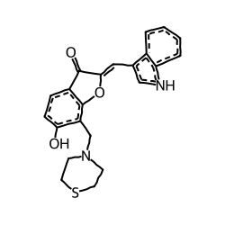 O=C1C(=Cc2c[nH]c3ccccc23)Oc2c1ccc(O)c2CN1CCSCC1